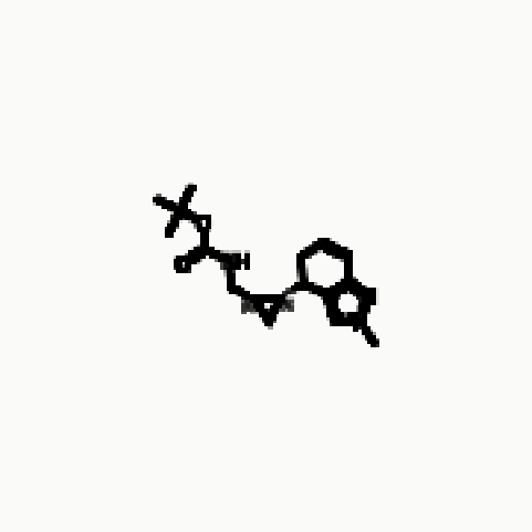 Cn1cc2c(n1)C=CCC2[C@@H]1C[C@H]1CNC(=O)OC(C)(C)C